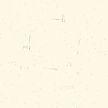 C[C](=O)[Ti][N]1CCCNCCCNCCC1.Cl